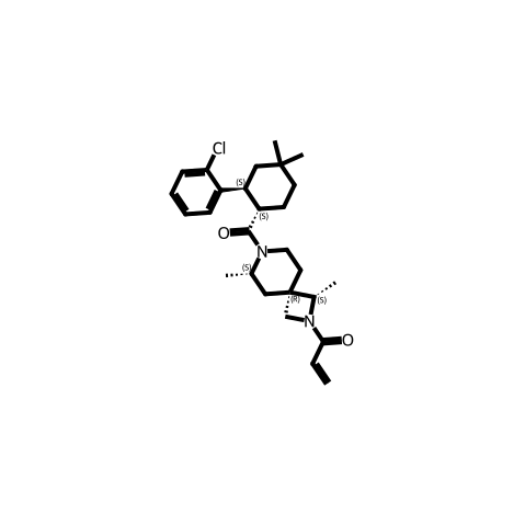 C=CC(=O)N1C[C@]2(CCN(C(=O)[C@H]3CCC(C)(C)C[C@@H]3c3ccccc3Cl)[C@@H](C)C2)[C@@H]1C